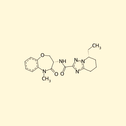 CC[C@@H]1CCCc2nc(C(=O)N[C@H]3COc4ccccc4N(C)C3=O)nn21